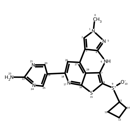 Cn1cc2c(n1)Nc1c([S+]([O-])C3CCC3)sc3nc(-c4cnc(N)nc4)cc-2c13